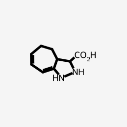 O=C(O)C1NNC2=CC=CCCC21